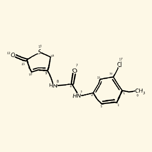 Cc1ccc(NC(=O)NC2=CC(=O)SC2)cc1Cl